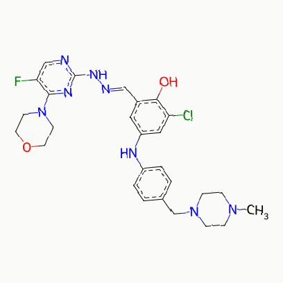 CN1CCN(Cc2ccc(Nc3cc(Cl)c(O)c(/C=N/Nc4ncc(F)c(N5CCOCC5)n4)c3)cc2)CC1